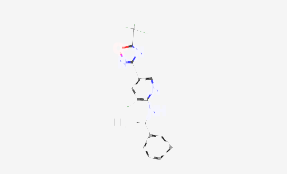 C[C@@H](Nc1ncc(-c2noc(C(F)(F)F)n2)cc1Cl)c1ccccc1